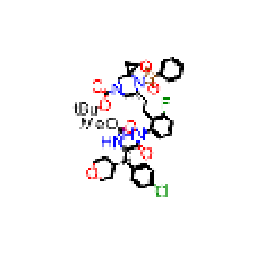 COC(=O)N[C@H](C(=O)Nc1cccc(F)c1CC[C@H]1CN(C(=O)OC(C)(C)C)CC2(CC2)N1S(=O)(=O)c1ccccc1)[C@@H](c1ccc(Cl)cc1)C1CCOCC1